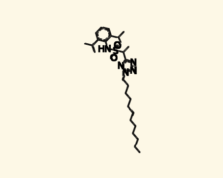 CCCCCCCCCCCCn1nnc(C(C)S(=O)(=O)Nc2c(C(C)C)cccc2C(C)C)n1